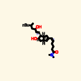 CCCCC(C)CC(O)/C=C/[C@@H]1[C@H]2CC(/C=C\CCCC(=O)N(C)C)=C[C@H]2C[C@H]1O